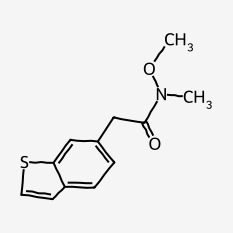 CON(C)C(=O)Cc1ccc2ccsc2c1